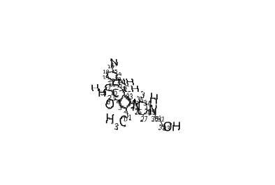 CCc1cc(C=O)c(C(C)(C)c2[nH]c3cc(C#N)ccc3c2C)cc1N1CCC(NCCCO)CC1